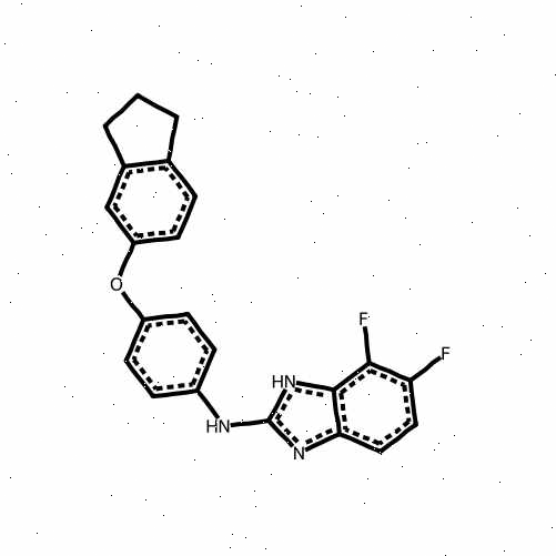 Fc1ccc2nc(Nc3ccc(Oc4ccc5c(c4)CCC5)cc3)[nH]c2c1F